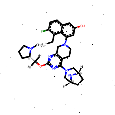 [2H]C([2H])(Oc1nc2c(c(N3C[C@H]4CC[C@@H](C3)N4)n1)CCN(c1cc(O)cc3ccc(F)c(CC)c13)C2)[C@@H]1CCCN1C